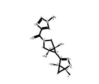 CC(C)n1cnc(C(=O)N2C[C@@H]3C(C4=NO[C@]5(C)C[C@H]45)[C@@H]3C2)c1